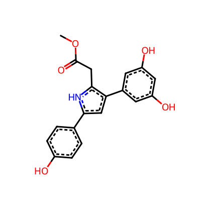 COC(=O)Cc1[nH]c(-c2ccc(O)cc2)cc1-c1cc(O)cc(O)c1